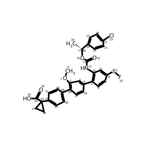 COc1cc(-c2ccc(SF)cc2NC(=O)O[C@H](C)c2ccc(Cl)cc2)ccc1-c1ccc(C2(C(=O)O)CC2)cc1